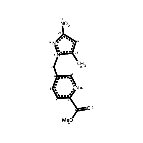 COC(=O)c1ccc(Cn2nc([N+](=O)[O-])cc2C)cn1